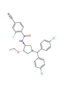 CCO[C@H]1CN(C(c2ccc(Cl)cc2)c2ccc(Cl)cc2)C[C@@H]1NC(=O)c1ccc(C#N)cc1F